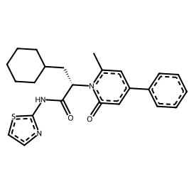 Cc1cc(-c2ccccc2)cc(=O)n1[C@@H](CC1CCCCC1)C(=O)Nc1nccs1